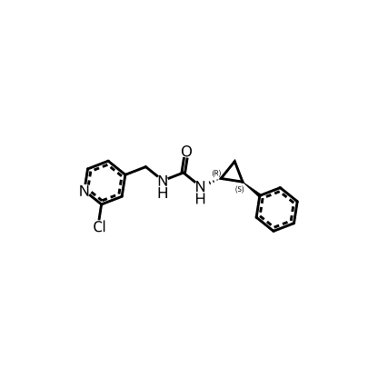 O=C(NCc1ccnc(Cl)c1)N[C@@H]1C[C@H]1c1ccccc1